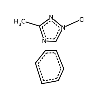 Cc1ncn(Cl)n1.c1ccccc1